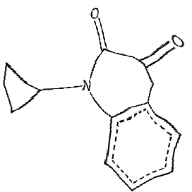 O=C1C(=O)N(C2CC2)c2ccccc21